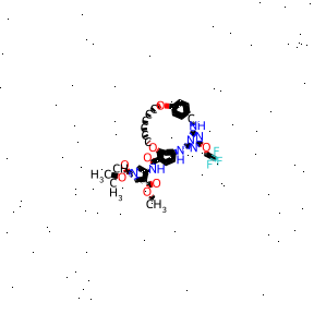 CCOC(=O)[C@@H]1CN(C(=O)OC(C)(C)C)C[C@H]1NC(=O)c1ccc2cc1OCCCCCCOc1ccc(cc1)CNc1nc(nc(OCC(F)(F)F)n1)N2